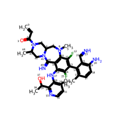 C=CC(=O)N1CC2CN(C)c3c(F)c(-c4c(C)ccc(N)c4C=N)c(F)c(Nc4c(C)ccnc4C(C)O)c3C(=N)N2CC1C